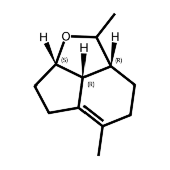 CC1=C2CC[C@@H]3OC(C)[C@H](CC1)[C@H]23